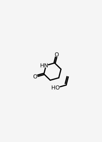 C=CO.O=C1CCCC(=O)N1